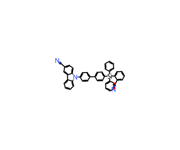 N#Cc1ccc2c(c1)c1ccccc1n2-c1ccc(-c2ccc([Si](c3ccccc3)(c3ccccc3)c3ccccc3C#N)cc2)cc1